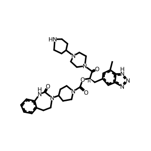 Cc1cc(C[C@@H](OC(=O)N2CCC(N3CCc4ccccc4NC3=O)CC2)C(=O)N2CCN(C3CCNCC3)CC2)cc2nn[nH]c12